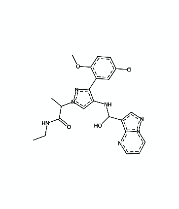 CCNC(=O)C(C)n1cc(NC(O)c2cnn3cccnc23)c(-c2cc(Cl)ccc2OC)n1